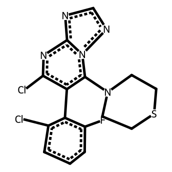 Fc1cccc(Cl)c1-c1c(Cl)nc2ncnn2c1N1CCSCC1